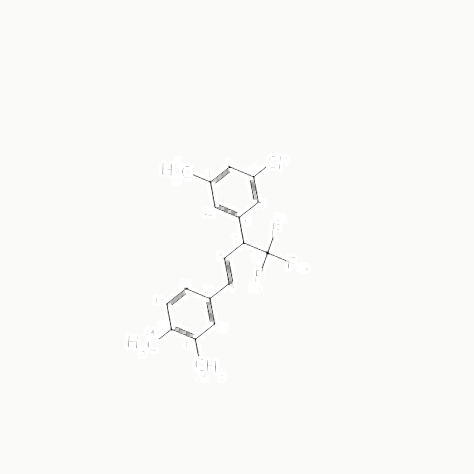 Cc1cc(Cl)cc(C(/C=C/c2ccc(C)c(C)c2)C(F)(F)F)c1